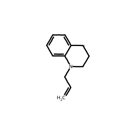 C=CCN1CC[C]c2ccccc21